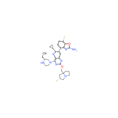 N#CC[C@H]1CN(c2nc(OCC34CCCN3C[C@H](F)C4)nc3cc(-c4ccc(F)c5oc(N)nc45)c(C4CC4)nc23)CCN1